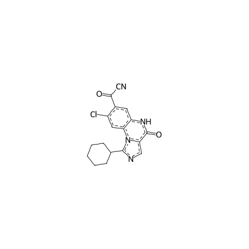 N#CC(=O)c1cc2[nH]c(=O)c3cnc(C4CCCCC4)n3c2cc1Cl